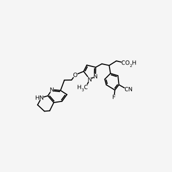 Cn1nc(CC(CC(=O)O)c2ccc(F)c(C#N)c2)cc1OCCc1ccc2c(n1)NCCC2